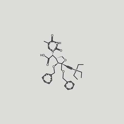 CC[Si](C#C[C@]1(COCc2ccccc2)OC[C@@H]([C@H](C(=O)O)n2cc(C)c(=O)[nH]c2=O)[C@@H]1OCc1ccccc1)(CC)CC